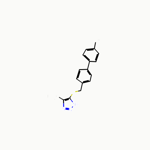 Cc1ccc(-c2ccc(CSc3[nH]nnc3C(=O)O)cc2)cc1